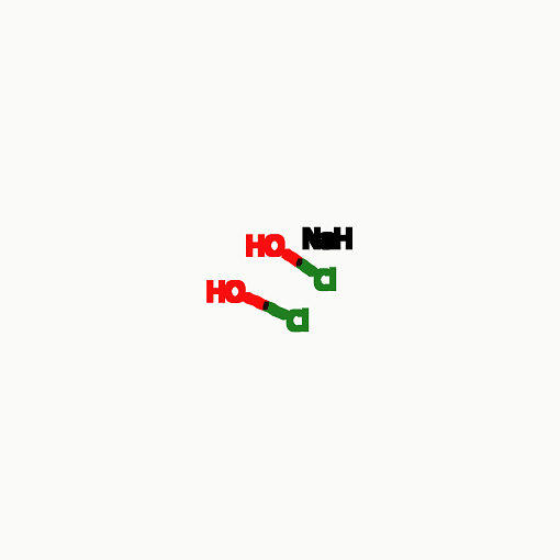 OCl.OCl.[NaH]